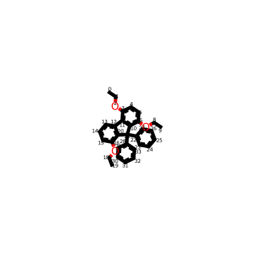 CCOc1ccc(OCC)c2c1-c1cccc(OCC)c1C2(c1ccccc1)c1ccccc1